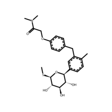 CS[C@H]1O[C@@H](c2ccc(C)c(Cc3ccc(OCC(=O)N(C)C)cc3)c2)[C@H](O)[C@@H](O)[C@@H]1O